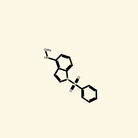 CONc1cccc2c1ccn2S(=O)(=O)c1ccccc1